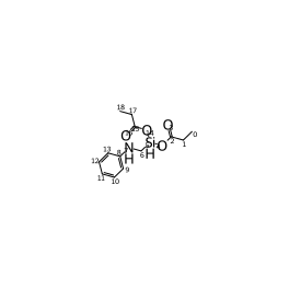 CCC(=O)O[SiH](CNc1ccccc1)OC(=O)CC